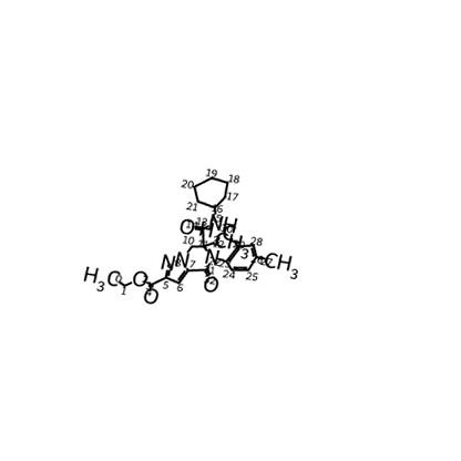 CCOC(=O)c1cc2n(n1)CC(C)(C(=O)NC1CCCCC1)N(c1ccc(C)cc1C)C2=O